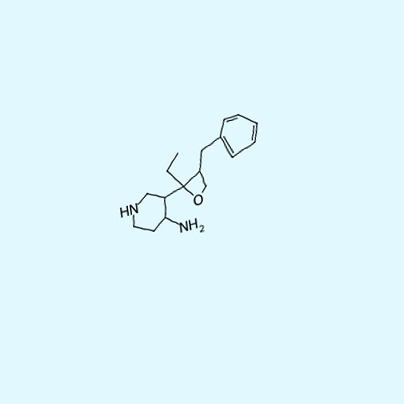 CCC1(C2CNCCC2N)OCC1Cc1ccccc1